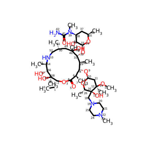 CC[C@H]1OC(=O)[C@H](C)[C@@H](O[C@H]2C[C@@](C)(OC)[C@](O)(CN3CCN(C)CC3)[C@H](C)O2)[C@H](C)[C@@H](O[C@@H]2O[C@H](C)C[C@H](N(C)C(N)=O)[C@H]2O)[C@](C)(O)C[C@@H](C)CN[C@H](C)[C@@H](O)[C@]1(C)O